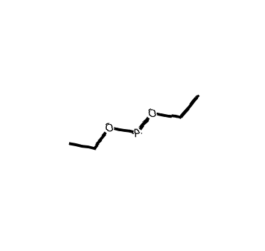 CCO[P]OCC